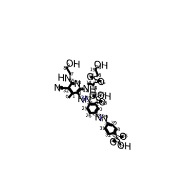 Cc1c(C#N)c(NCCO)nc(NCCS(=O)(=O)CCO)c1/N=N/c1ccc(/N=N/c2ccc(S(=O)(=O)O)cc2)cc1S(=O)(=O)O